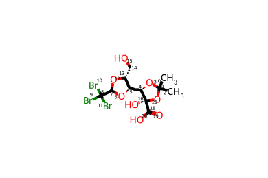 CC1(C)O[C@@H]([C@@H]2OC(C(Br)(Br)Br)O[C@@H]2CO)[C@](O)(C(=O)O)O1